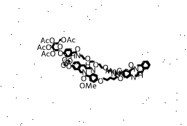 COc1cc2c(cc1OCCCCCOc1cc3c(cc1OC)C(=O)N1Cc4ccccc4C[C@@H]1C=N3)N=C[C@@H]1Cc3ccc(OS(=O)(=O)Oc4cc(C(=O)NCCOCCOCCOCCN=[N+]=[N-])ccc4OC4O[C@H](COC(C)=O)[C@H](OC(C)=O)[C@H](OC(C)=O)[C@H]4OC(C)=O)cc3CN1C2=O